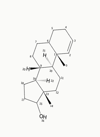 C[C@]12C=CCCC1CC[C@@H]1[C@@H]2CC[C@]2(C)C(O)CC[C@@H]12